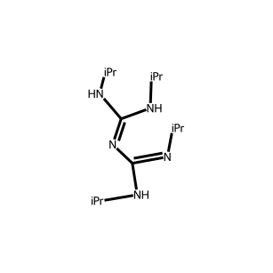 CC(C)/N=C(\N=C(NC(C)C)NC(C)C)NC(C)C